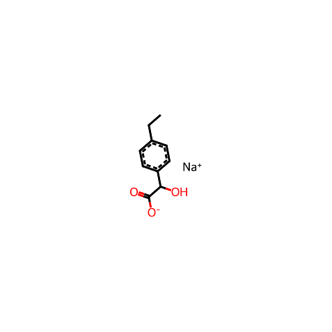 CCc1ccc(C(O)C(=O)[O-])cc1.[Na+]